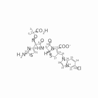 CC(C)(O/N=C(\C(=O)N[C@@H]1C(=O)N2C(C(=O)[O-])=C(Cn3cc[n+]4cc(Cl)ccc34)CS[C@H]12)c1csc(N)n1)C(=O)O